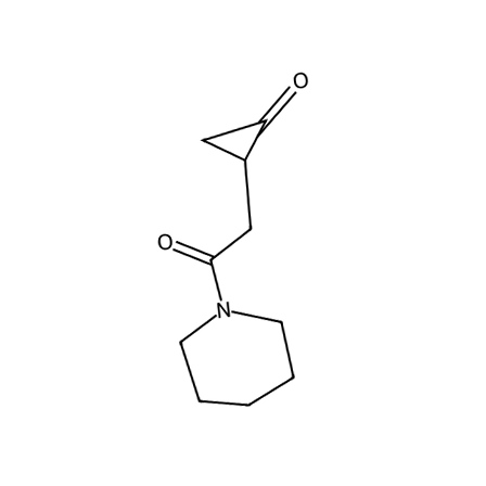 O=C1CC1CC(=O)N1CCCCC1